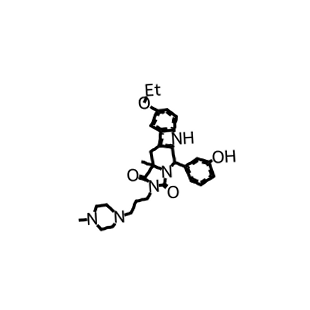 CCOc1ccc2[nH]c3c(c2c1)CC1(C)C(=O)N(CCCN2CCN(C)CC2)C(=O)N1C3c1cccc(O)c1